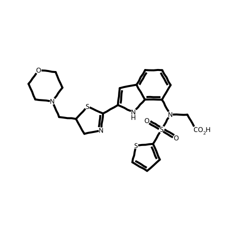 O=C(O)CN(c1cccc2cc(C3=NCC(CN4CCOCC4)S3)[nH]c12)S(=O)(=O)c1cccs1